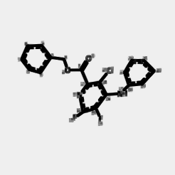 O=C(OCc1ccccc1)c1nc(F)c(F)c(Nc2ccccc2)c1Cl